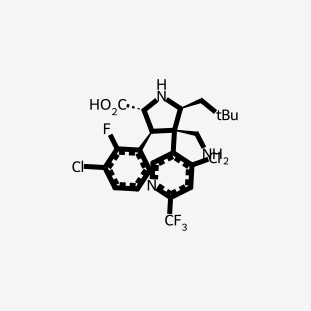 CC(C)(C)C[C@@H]1N[C@@H](C(=O)O)[C@H](c2cccc(Cl)c2F)[C@@]1(CN)c1cnc(C(F)(F)F)cc1Cl